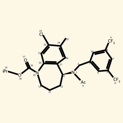 CC(=O)N(Cc1cc(C(F)(F)F)cc(C(F)(F)F)c1)[C@H]1CCCN(C(=O)OC(C)C)c2cc(Cl)c(C)cc21